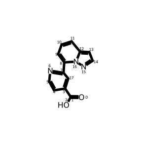 O=C(O)c1ccnc(-c2cccc3ccnn23)c1